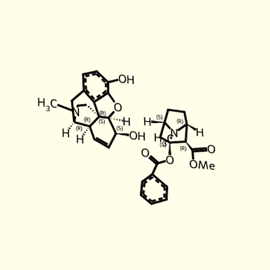 CN1CC[C@]23c4c5ccc(O)c4O[C@H]2[C@@H](O)C=C[C@H]3[C@H]1C5.COC(=O)[C@H]1[C@@H](OC(=O)c2ccccc2)C[C@@H]2CC[C@H]1N2C